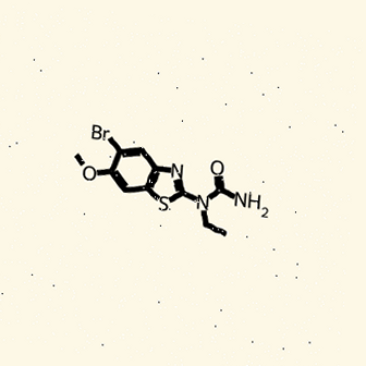 CCN(C(N)=O)c1nc2cc(Br)c(OC)cc2s1